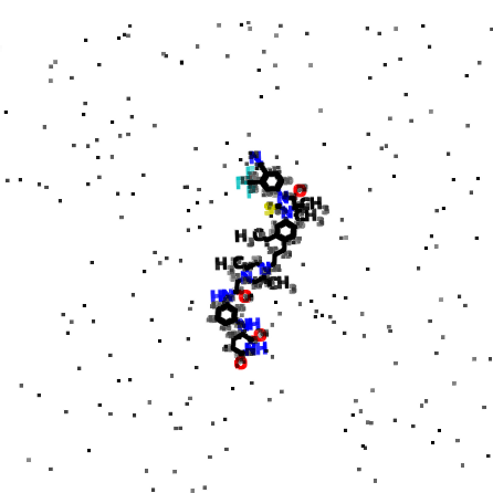 CCc1cc(N2C(=S)N(c3ccc(C#N)c(C(F)(F)F)c3)C(=O)C2(C)C)ccc1CCCN1C[C@@H](C)N(CC(=O)Nc2cccc(NC3CCC(=O)NC3=O)c2)C[C@H]1C